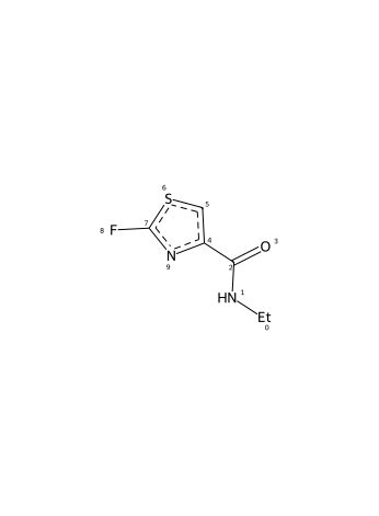 CCNC(=O)c1csc(F)n1